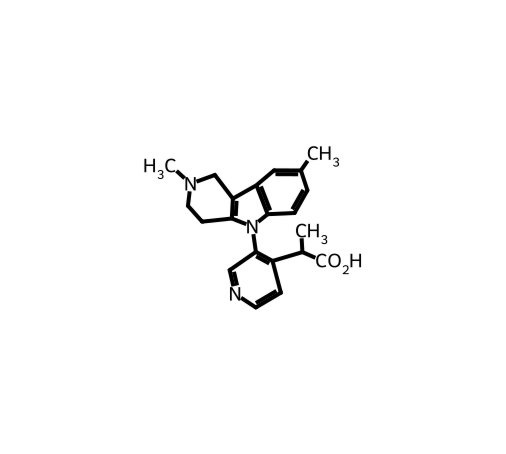 Cc1ccc2c(c1)c1c(n2-c2cnccc2C(C)C(=O)O)CCN(C)C1